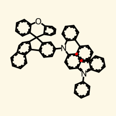 c1ccc(-c2ccccc2N(c2ccc3c(c2)C2(c4ccccc4Oc4ccccc42)c2ccc4ccccc4c2-3)c2ccc3c(c2)c2ccccc2n3-c2ccccc2)cc1